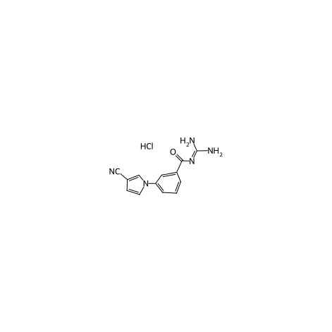 Cl.N#Cc1ccn(-c2cccc(C(=O)N=C(N)N)c2)c1